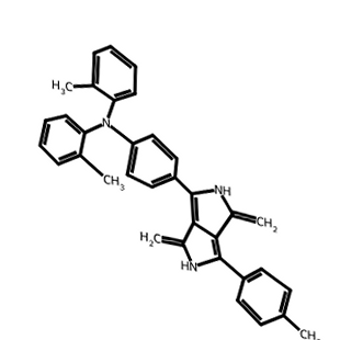 C=c1[nH]c(-c2ccc(N(c3ccccc3C)c3ccccc3C)cc2)c2c(=C)[nH]c(-c3ccc(C)cc3)c12